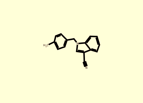 Cc1ccc(Cn2cc(C#N)c3ccccc32)cc1